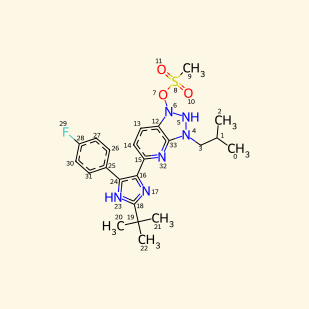 CC(C)CN1NN(OS(C)(=O)=O)c2ccc(-c3nc(C(C)(C)C)[nH]c3-c3ccc(F)cc3)nc21